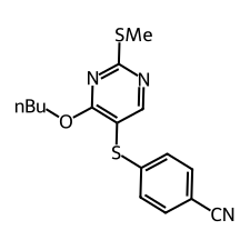 CCCCOc1nc(SC)ncc1Sc1ccc(C#N)cc1